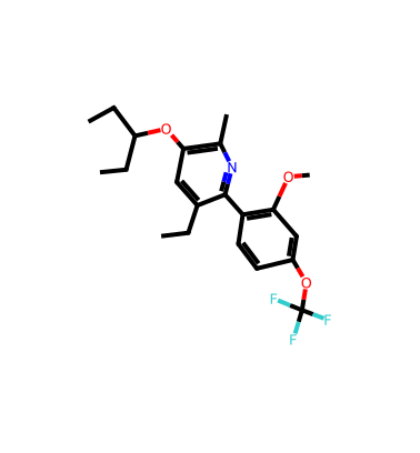 CCc1cc(OC(CC)CC)c(C)nc1-c1ccc(OC(F)(F)F)cc1OC